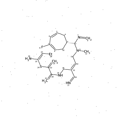 C=NC([C@H]1CC=CC(F)=CC1)N(C)C/C=C(/C=N)CNC(=C)C(=C)S/C(N)=C\CC